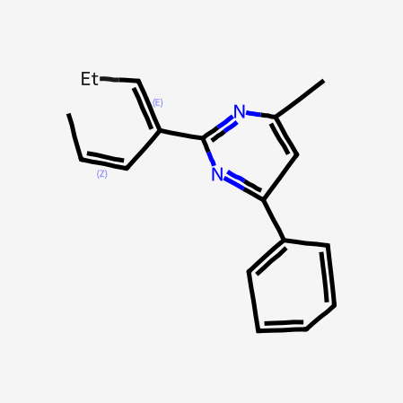 C/C=C\C(=C/CC)c1nc(C)cc(-c2ccccc2)n1